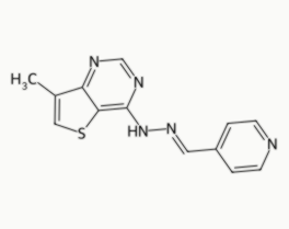 Cc1csc2c(NN=Cc3ccncc3)ncnc12